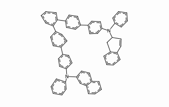 C1=CC(N(c2ccccc2)c2ccc(-c3ccc(-c4ccccc4-c4ccc(-c5ccc(N(c6ccccc6)c6ccc7ccccc7c6)cc5)cc4)cc3)cc2)Cc2ccccc21